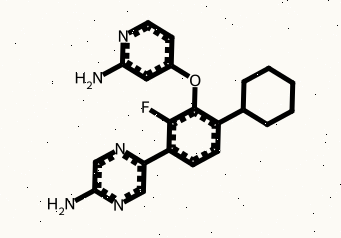 Nc1cnc(-c2ccc(C3CCCCC3)c(Oc3ccnc(N)c3)c2F)cn1